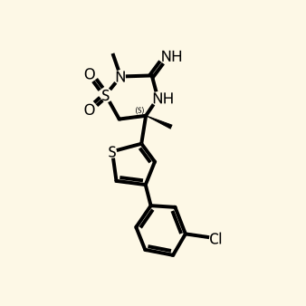 CN1C(=N)N[C@](C)(c2cc(-c3cccc(Cl)c3)cs2)CS1(=O)=O